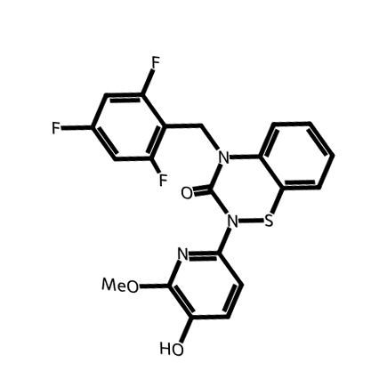 COc1nc(N2Sc3ccccc3N(Cc3c(F)cc(F)cc3F)C2=O)ccc1O